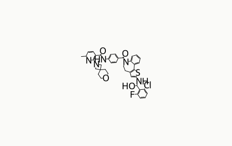 Cc1ccc(C(=O)Nc2ccc(C(=O)N3CCc4cc(NC(O)c5c(F)cccc5Cl)sc4-c4ccccc43)cc2)c(N2CC3(CCOCC3)C2)n1